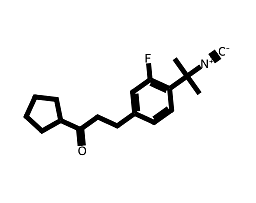 [C-]#[N+]C(C)(C)c1ccc(CCC(=O)C2CCCC2)cc1F